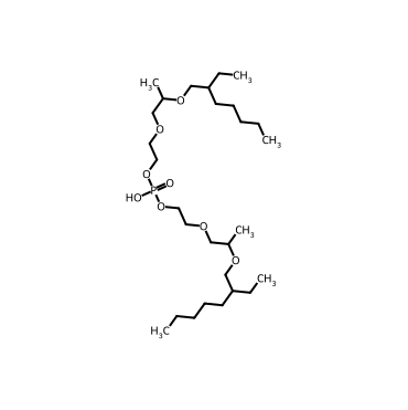 CCCCCC(CC)COC(C)COCCOP(=O)(O)OCCOCC(C)OCC(CC)CCCCC